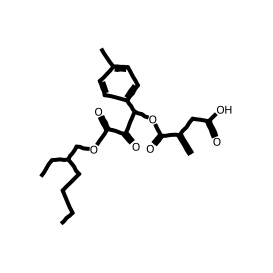 C=C(CC(=O)O)C(=O)OC(C(=O)C(=O)OCC(CC)CCCC)c1ccc(C)cc1